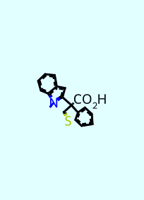 Cn1c(C(C=S)(C(=O)O)c2ccccc2)cc2ccccc21